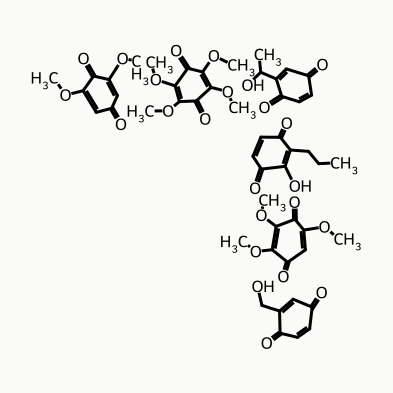 CC(O)C1=CC(=O)C=CC1=O.CCCC1=C(O)C(=O)C=CC1=O.COC1=C(OC)C(=O)C(OC)=C(OC)C1=O.COC1=CC(=O)C(OC)=C(OC)C1=O.COC1=CC(=O)C=C(OC)C1=O.O=C1C=CC(=O)C(CO)=C1